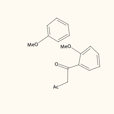 COc1ccccc1.COc1ccccc1C(=O)CC(C)=O